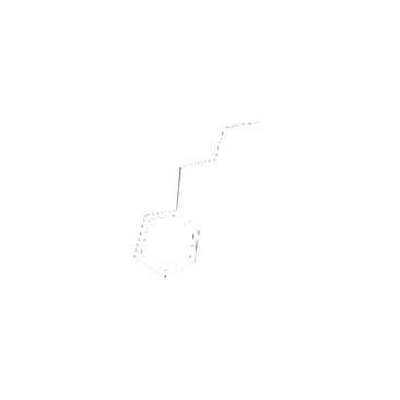 [CH2]CCCc1cc[c]cc1